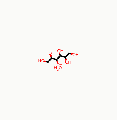 O.OCC(O)C(O)C(O)C(O)CO